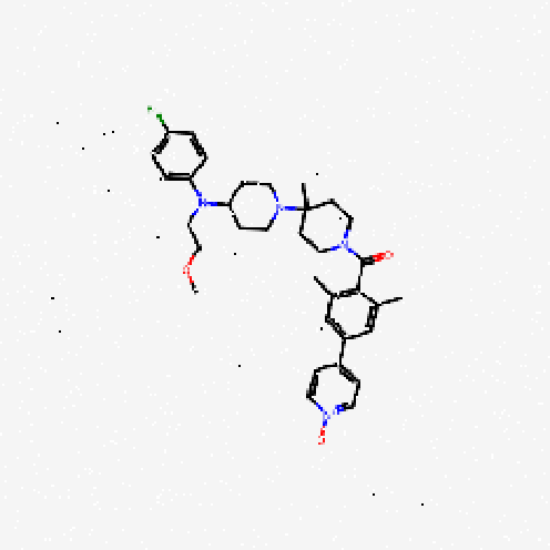 COCCN(c1ccc(Br)cc1)C1CCN(C2(C)CCN(C(=O)c3c(C)cc(-c4cc[n+]([O-])cc4)cc3C)CC2)CC1